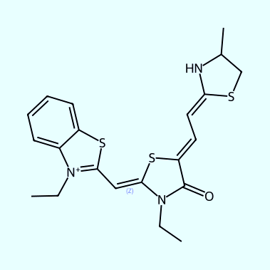 CCn1c(=O)c(=CC=C2NC(C)CS2)s/c1=C\c1sc2ccccc2[n+]1CC